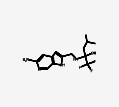 CC(C)CC(O)(NCc1cc2cc(N)ncc2[nH]1)C(F)(F)F